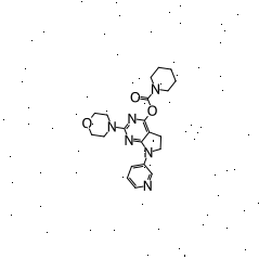 O=C(Oc1nc(N2CCOCC2)nc2c1CCN2c1cccnc1)N1CCCCC1